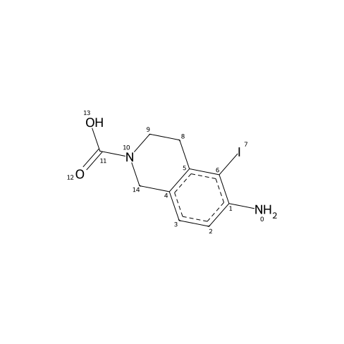 Nc1ccc2c(c1I)CCN(C(=O)O)C2